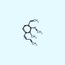 C=C/C=C\c1ccc(C=C)c(N=C)c1C